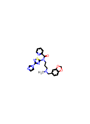 CN(CCCN(C(=O)c1ccccn1)c1nc(-n2ccnc2)ns1)Cc1ccc2c(c1)OCO2